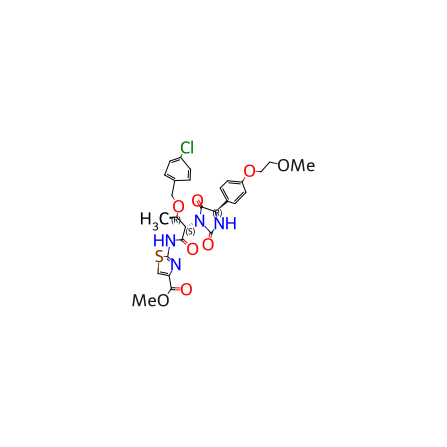 COCCOc1ccc([C@H]2NC(=O)N([C@H](C(=O)Nc3nc(C(=O)OC)cs3)[C@@H](C)OCc3ccc(Cl)cc3)C2=O)cc1